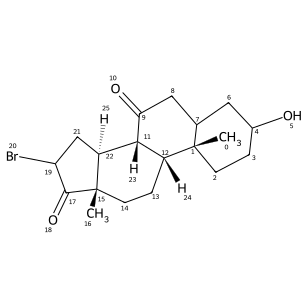 C[C@]12CCC(O)CC1CC(=O)[C@@H]1[C@H]2CC[C@]2(C)C(=O)C(Br)C[C@@H]12